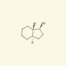 CC[C@]12CCCC[C@@H]1CC[C@@H]2O